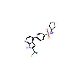 O=S(=O)(NC1CCCC1)c1ccc(-c2ccnc3[nH]c(C(F)F)cc23)cc1